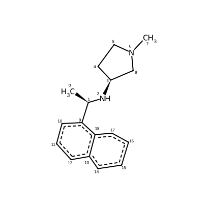 C[C@@H](N[C@H]1CCN(C)C1)c1cccc2ccccc12